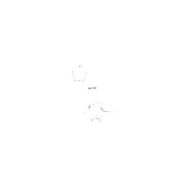 O=C(Oc1cccc(Cl)n1)C1CCCC1